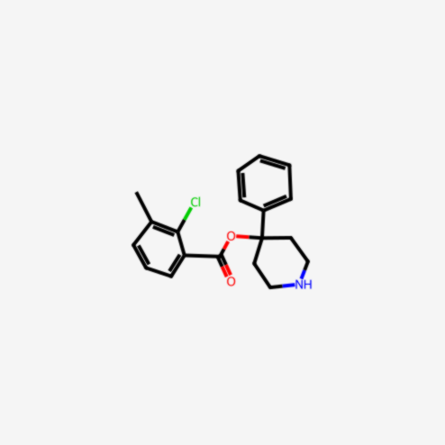 Cc1cccc(C(=O)OC2(c3ccccc3)CCNCC2)c1Cl